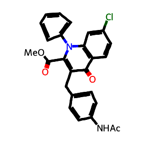 COC(=O)c1c(Cc2ccc(NC(C)=O)cc2)c(=O)c2ccc(Cl)cc2n1-c1ccccc1